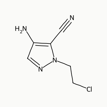 N#Cc1c(N)cnn1CCCl